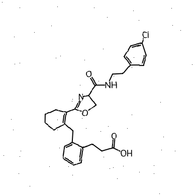 O=C(O)CCc1ccccc1CC1=C(C2=NC(C(=O)NCCc3ccc(Cl)cc3)CO2)CCCC1